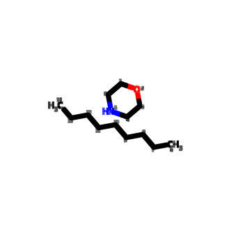 C1COCCN1.CCCCCCCCC